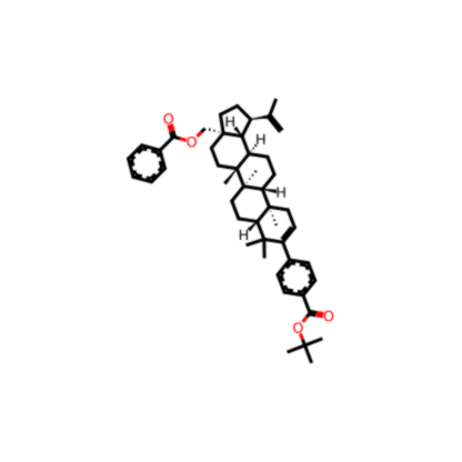 C=C(C)[C@@H]1CC[C@]2(COC(=O)c3ccccc3)CC[C@]3(C)[C@H](CC[C@@H]4[C@@]5(C)CC=C(c6ccc(C(=O)OC(C)(C)C)cc6)C(C)(C)[C@@H]5CC[C@]43C)[C@@H]12